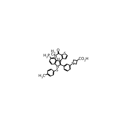 Cc1ccc(Sn2c(-c3cccc(N4CC(C(=O)O)C4)c3)c(-c3ccsc3C(=O)N(C)C)c3cc(P)ccc32)cc1